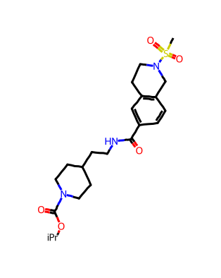 CC(C)OC(=O)N1CCC(CCNC(=O)c2ccc3c(c2)CCN(S(C)(=O)=O)C3)CC1